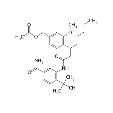 CCCCCC(CC(=O)Nc1cc(C(N)=O)ccc1C(C)(C)C)c1ccc(COC(C)=O)cc1OC